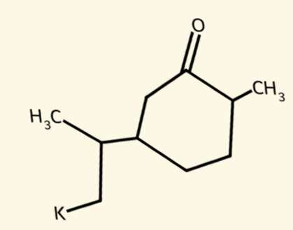 CC1CCC(C(C)[CH2][K])CC1=O